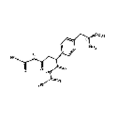 N[C@@H](Cc1ccc(C(CC(=O)NC(=S)S)C(=O)NC(=S)S)cc1)C(=O)O